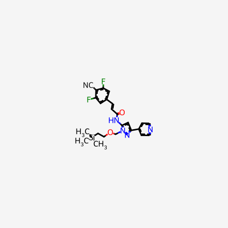 C[Si](C)(C)CCOCn1nc(-c2ccncc2)cc1NC(=O)C=Cc1cc(F)c(C#N)c(F)c1